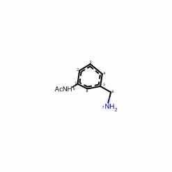 CC(=O)Nc1c[c]cc(CN)c1